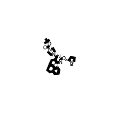 CN1CCC[C@H]1COc1nc2c(c(N3CCN(C(=O)OC(C)(C)C)CC3)n1)CCC1(CCCc3ccccc31)O2